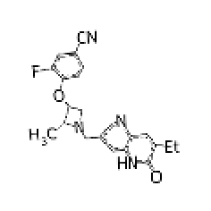 CCc1cc2ncc(CN3C[C@H](Oc4ccc(C#N)cc4F)[C@H]3C)cc2[nH]c1=O